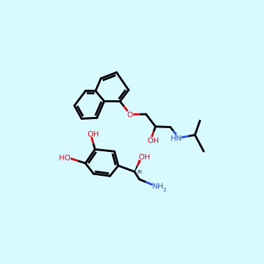 CC(C)NCC(O)COc1cccc2ccccc12.NC[C@H](O)c1ccc(O)c(O)c1